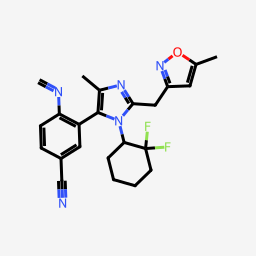 C=Nc1ccc(C#N)cc1-c1c(C)nc(Cc2cc(C)on2)n1C1CCCCC1(F)F